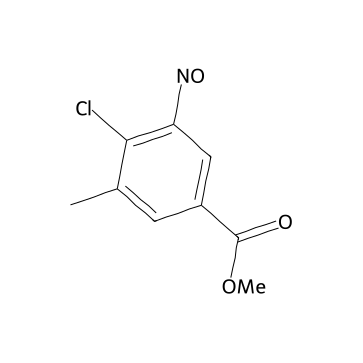 COC(=O)c1cc(C)c(Cl)c(N=O)c1